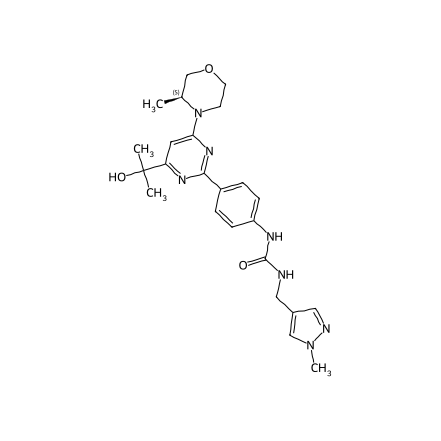 C[C@H]1COCCN1c1cc(C(C)(C)O)nc(-c2ccc(NC(=O)NCc3cnn(C)c3)cc2)n1